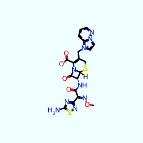 CON=C(C(=O)N[C@@H]1C(=O)N2C(C(=O)[O-])=C(C[n+]3ccn4ncccc43)CS[C@H]12)c1nsc(N)n1